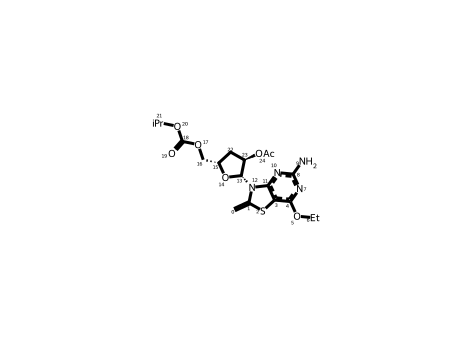 C=C1Sc2c(OCC)nc(N)nc2N1[C@@H]1O[C@H](COC(=O)OC(C)C)C[C@H]1OC(C)=O